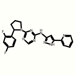 Fc1ccc(C2CCCN2c2ncnc(Nc3cc(-c4ccccn4)[nH]n3)n2)c(F)c1